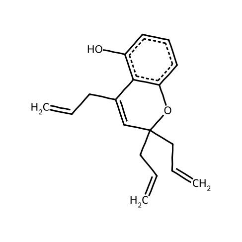 C=CCC1=CC(CC=C)(CC=C)Oc2cccc(O)c21